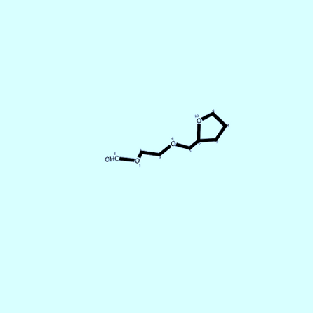 O=COCCOCC1CCCO1